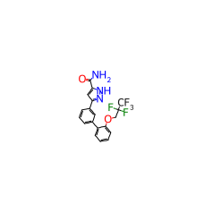 NC(=O)c1cc(-c2cccc(-c3ccccc3OCC(F)(F)C(F)(F)F)c2)n[nH]1